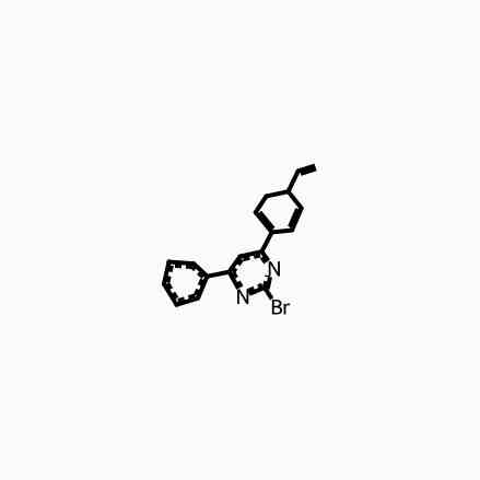 C=CC1C=CC(c2cc(-c3ccccc3)nc(Br)n2)=CC1